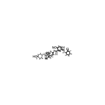 C[C@]1(O)CC[C@@H](CN[C@@H]2[C@@H]3CC4C[C@H]2C[C@@](CNc2nc(NCc5ccccc5Cl)ncc2C#N)(C4)C3)CC1